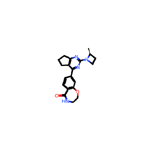 C[C@H]1CCN1c1nc2c(c(-c3ccc4c(c3)OCCNC4=O)n1)CCC2